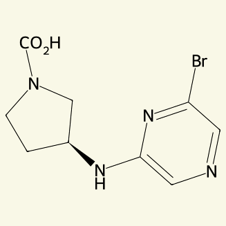 O=C(O)N1CC[C@H](Nc2cncc(Br)n2)C1